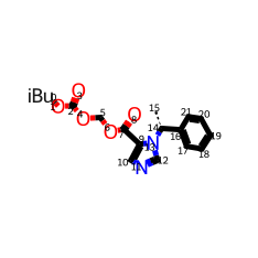 CCC(C)OC(=O)OCOC(=O)c1cncn1[C@H](C)c1ccccc1